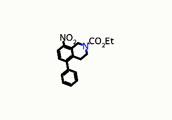 CCOC(=O)N1CCc2c(-c3ccccc3)ccc([N+](=O)[O-])c2C1